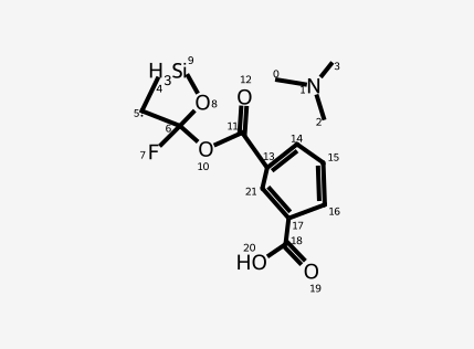 CN(C)C.C[CH]C(F)(O[SiH3])OC(=O)c1cccc(C(=O)O)c1